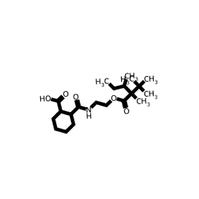 CCC(C)C(C)(C(=O)OCCNC(=O)C1CCCCC1C(=O)O)C(C)(C)C